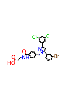 O=C(O)CCNC(=O)c1ccc(Cn2nc(-c3cc(Cl)cc(Cl)c3)cc2-c2cccc(Br)c2)cc1